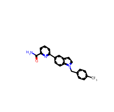 NC(=O)c1cccc(-c2ccc3c(ccn3Cc3ccc(C(F)(F)F)cc3)c2)n1